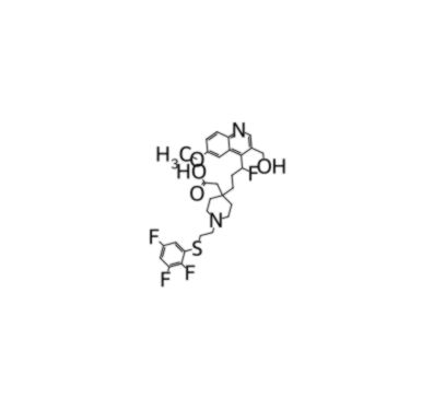 COc1ccc2ncc(CO)c(C(F)CCC3(CC(=O)O)CCN(CCSc4cc(F)cc(F)c4F)CC3)c2c1